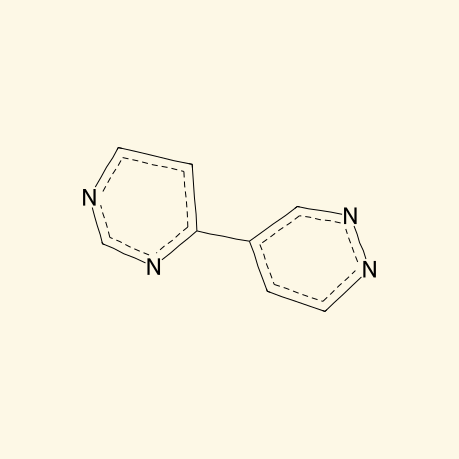 c1cc(-c2ccnnc2)ncn1